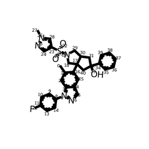 Cc1cc2c(cnn2-c2ccc(F)cc2)cc1C12CN(S(=O)(=O)c3cnn(C)c3)CC1CC(O)(c1ccccc1)C2